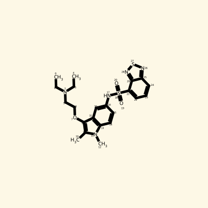 CCN(CC)CCOc1c(C)n(C)c2ccc(NS(=O)(=O)c3cccc4nsnc34)cc12